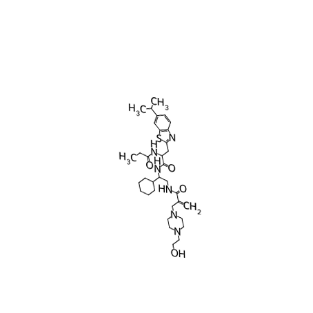 C=C(CN1CCN(CCO)CC1)C(=O)NCC(NC(=O)C(Cc1nc2ccc(C(C)C)cc2s1)NC(=O)CC)C1CCCCC1